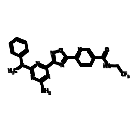 CN(c1ccccc1)c1nc(N)nc(-c2noc(-c3ccc(C(=O)NCC(F)(F)F)cn3)n2)n1